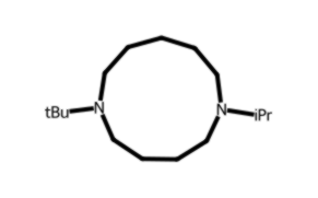 CC(C)N1CCCCCN(C(C)(C)C)CCCC1